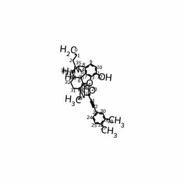 C=CCN1CC[C@]23c4c5ccc(O)c4O[C@H]2[C@@H](N(C)C(=O)C#Cc2ccc(C)c(C)c2)CC[C@H]3[C@H]1C5